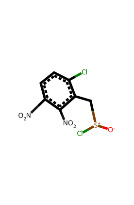 O=[N+]([O-])c1ccc(Cl)c(C[S+]([O-])Cl)c1[N+](=O)[O-]